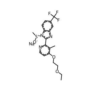 CCOCCOc1ccnc(-c2nc3cc(C(F)(F)F)ccc3n2[S+](C)[O-])c1C.[Na]